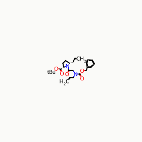 C=CC[C@H]1CC[C@@H](C(=O)OC(C)(C)C)N1C(=O)CN(CC=C)C(=O)OCc1ccccc1